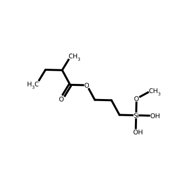 CCC(C)C(=O)OCCC[Si](O)(O)OC